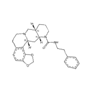 O=C(NCCc1ccccc1)N1CCC[C@H]2CN3CCc4ccc5c(c4[C@H]3C[C@H]21)OCO5